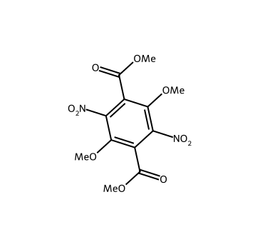 COC(=O)c1c(OC)c([N+](=O)[O-])c(C(=O)OC)c(OC)c1[N+](=O)[O-]